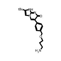 CC(C)(C)c1cn2cc(-c3ccc(COCCCN)cc3)c(=O)nc2[nH]1